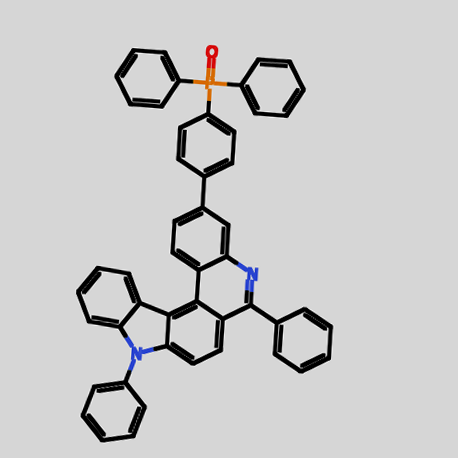 O=P(c1ccccc1)(c1ccccc1)c1ccc(-c2ccc3c(c2)nc(-c2ccccc2)c2ccc4c(c5ccccc5n4-c4ccccc4)c23)cc1